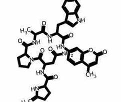 C=C1CCC(C(=O)NC(CC(N)=O)C(=O)N2CCCC2C(=O)NC(C)C(=O)NC(Cc2c[nH]c3ccccc23)C(=O)Nc2ccc3c(C)cc(=O)oc3c2)N1